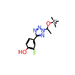 CC(O[Si](C)(C)C)n1nnc(-c2ccc(O)c(F)c2)n1